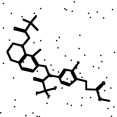 COC(=O)CCc1ccc(N(Cc2ccc3c(c2C)N(CC(=O)C(C)(C)C)CCC3)C(=O)C(F)(F)F)cc1F